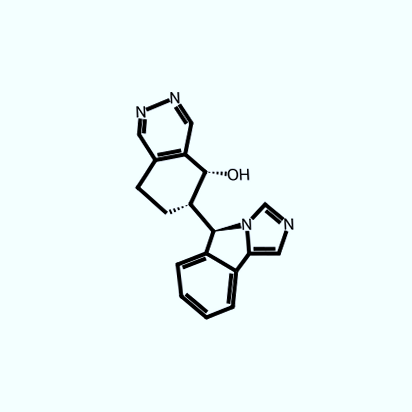 O[C@H]1c2cnncc2CC[C@H]1[C@@H]1c2ccccc2-c2cncn21